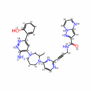 CC1CN(c2cc(-c3ccccc3O)nnc2N)CCCN1c1ccnc(C#CCNC(=O)c2cc3ncccn3n2)n1